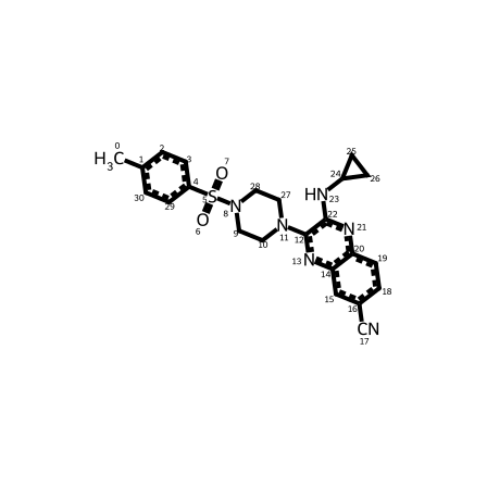 Cc1ccc(S(=O)(=O)N2CCN(c3nc4cc(C#N)ccc4nc3NC3CC3)CC2)cc1